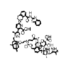 CNC(=O)CCN(CCOC12CC3(C)CC(C)(CC(Cn4ncc(-c5ccc(N6CCc7cccc(C(=O)Nc8nc9ccccc9s8)c7C6)nc5C(=O)O)c4C)(C3)C1)C2)C(=O)OCc1ccc(NC[C@H](C)NC[C@@H](N)C(C)C)cc1CC[C@@H]1O[C@H](C(=O)O)[C@@H](O)[C@H](O)[C@H]1O